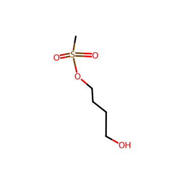 CS(=O)(=O)OCCCCO